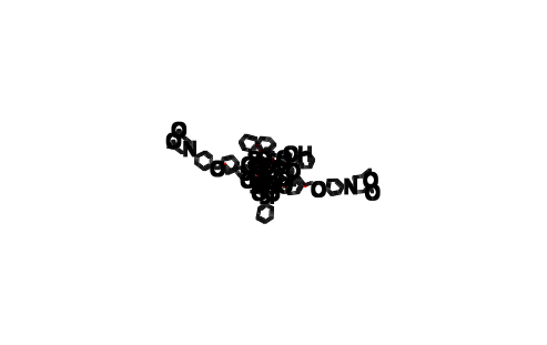 C[Si]1(CCCOc2ccc(N(CC3CO3)CC3CO3)cc2)O[SiH]2O[Si]3(c4ccccc4)O[SiH](Cc4ccccc4)O[Si](c4ccccc4)(O1)O[Si]1(c4ccccc4)O[Si](O)(c4ccccc4)O[Si](C)(CCCOc4ccc(N(CC5CO5)CC5CO5)cc4)O[Si](c4ccccc4)(O3)O[Si](c3ccccc3)(O2)O1